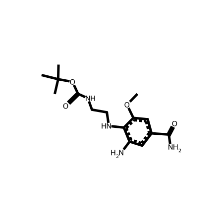 COc1cc(C(N)=O)cc(N)c1NCCNC(=O)OC(C)(C)C